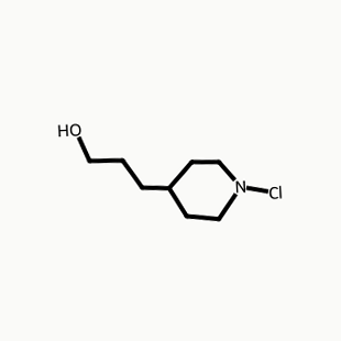 OCCCC1CCN(Cl)CC1